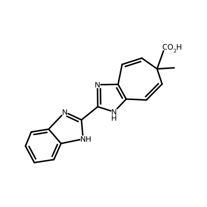 CC1(C(=O)O)C=Cc2nc(-c3nc4ccccc4[nH]3)[nH]c2C=C1